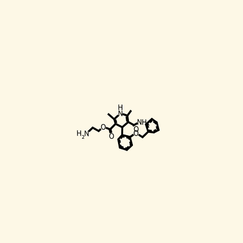 CC1=C(C(N)=O)C(c2ccccc2OCc2ccccc2)C(C(=O)OCCN)=C(C)N1